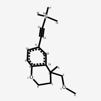 COCC1(C)CCOc2ccc(C#C[Si](C)(C)C)cc21